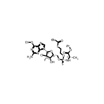 CCOc1nc(N)nc2c1ncn2[C@@H]1O[C@H](CO[P@@](=S)(N[C@@H](C)C(=O)OC(C)C)OCCSC(=O)C(C)(C)C)[C@@H](O)[C@@]1(F)Cl